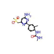 CNC(=O)Nc1ccc(-c2nc(N)cc(CS(C)(=O)=O)n2)cc1C